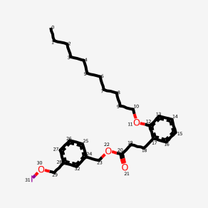 CCCCCCCCCCCOc1ccccc1CCC(=O)OCc1cccc(COI)c1